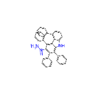 NNc1c(-c2ccccc2)c(-c2ccccc2)c2[nH]c3cccc(-c4ccccc4)c3c2c1-c1ccccc1